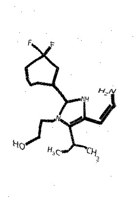 CC(C)C1=C(/C=C\N)NC(C2CCC(F)(F)C2)N1CCO